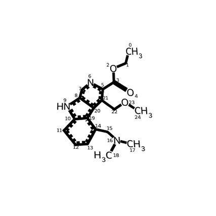 CCOC(=O)c1ncc2[nH]c3cccc(CN(C)C)c3c2c1COC